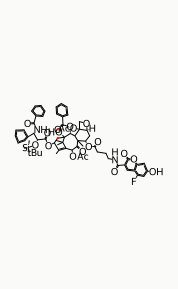 CC(=O)OC1C(=O)C2(C)C(OC(=O)CCCNC(=O)c3cc4c(F)cc(O)cc4oc3=O)C[C@@H]3OC[C@@]3(OC(C)=O)C2[C@H](OC(=O)c2ccccc2)C2(O)CC(OC(=O)[C@H](O[Si](C)(C)C(C)(C)C)[C@@H](NC(=O)c3ccccc3)c3ccccc3)C(C)=C1C2(C)C